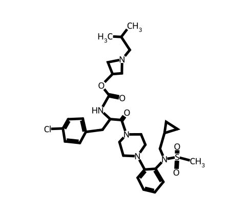 CC(C)CN1CC(OC(=O)NC(Cc2ccc(Cl)cc2)C(=O)N2CCN(c3ccccc3N(CC3CC3)S(C)(=O)=O)CC2)C1